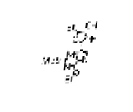 CCOc1nc(SC)nn2c([C@@H]3O[C@H](CC)[C@@H](C)[C@H]3F)cnc12